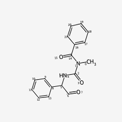 CN(C(=O)NC([C]=O)c1ccccc1)C(=O)c1ccccc1